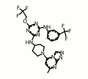 Cc1cc(N2CCC(Nc3nc(Nc4cccc(C(F)(F)F)c4)nc(OCC(F)(F)F)n3)CC2)n2cnnc2n1